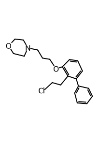 ClCCc1c(OCCCN2CCOCC2)cccc1-c1ccccc1